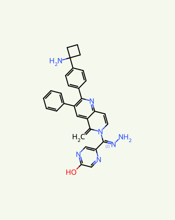 C=C1c2cc(-c3ccccc3)c(-c3ccc(C4(N)CCC4)cc3)nc2C=CN1/C(=N\N)c1cnc(O)cn1